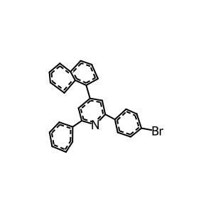 Brc1ccc(-c2cc(-c3cccc4ccccc34)cc(-c3ccccc3)n2)cc1